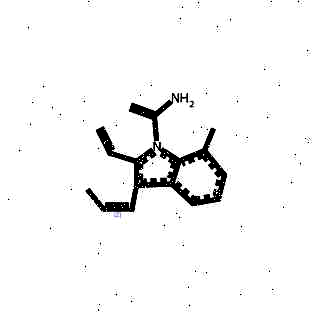 C=Cc1c(/C=C\C)c2cccc(C)c2n1C(=C)N